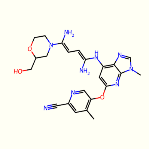 Cc1cc(C#N)ncc1Oc1cc(N/C(N)=C/C=C(\N)N2CCOC(CO)C2)c2ncn(C)c2n1